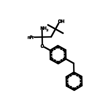 CCCC(N)(CC(C)(C)O)Oc1ccc(Cc2ccccc2)cc1